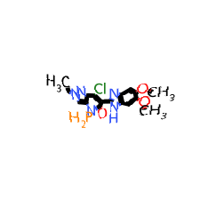 CCn1cc2c(n1)c(Cl)c(-c1nc3cc(OC)c(OC)cc3[nH]1)c(=O)n2P